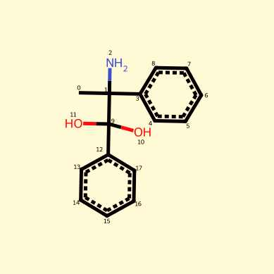 CC(N)(c1ccccc1)C(O)(O)c1ccccc1